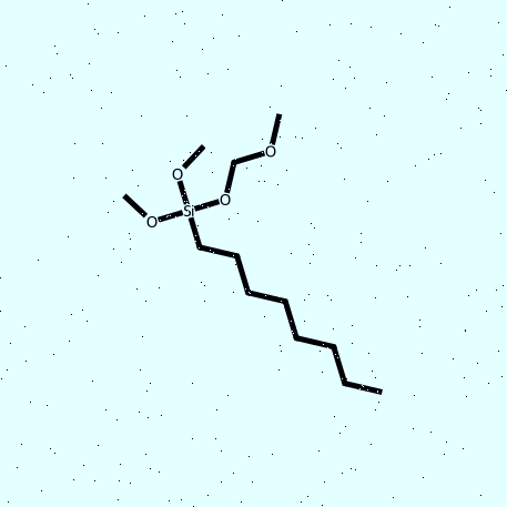 CCCCCCCC[Si](OC)(OC)OCOC